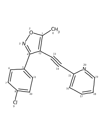 Cc1onc(-c2ccc(Cl)cc2)c1C#Cc1ccccn1